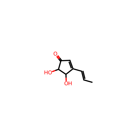 CC=CC1=CC(=O)C(O)C1O